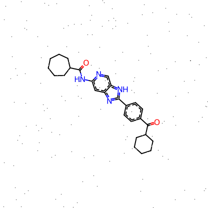 O=C(Nc1cc2nc(-c3ccc(C(=O)C4CCCCC4)cc3)[nH]c2cn1)C1CCCCCC1